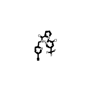 C#Cc1ccc(CNC(=O)c2cccn2-c2ncc(C(F)(F)F)cc2Cl)nc1